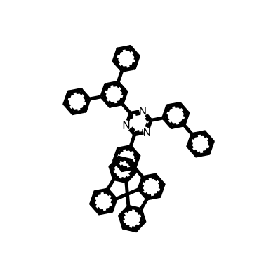 c1ccc(-c2cccc(-c3nc(-c4cc(-c5ccccc5)cc(-c5ccccc5)c4)nc(-c4cccc(-c5cccc6c5C5(c7ccccc7-c7ccccc75)c5ccccc5-6)c4)n3)c2)cc1